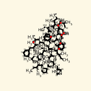 CC[C@H](C)[C@H](NC(=O)[C@H](C)NC(=O)[C@H](Cc1cnc[nH]1)NC(=O)[C@@H]1CCCN1C(=O)[C@@H](NC(=O)[C@H](CC(C)C)NC(=O)[C@H](CO)NC(=O)[C@H](Cc1ccccc1)NC(=O)[C@H](CC(C)C)NC(=O)[C@@H](N)Cc1ccccc1)[C@@H](C)CC)C(=O)NCC(=O)NCC(=O)N[C@@H](CC(C)C)C(=O)N[C@H](C(=O)N[C@@H](CO)C(=O)N[C@@H](C)C(=O)N[C@@H](Cc1ccccc1)C(=O)N[C@@H](CCCCN)C(=O)O)[C@@H](C)CC